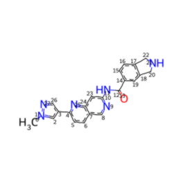 Cn1cc(-c2ccc3cnc(NC(=O)c4ccc5c(c4)CNC5)cc3n2)cn1